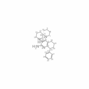 Nc1nc2c(c(N3CCCC[C@]34CCCNC4)n1)CCCC2c1ccccc1